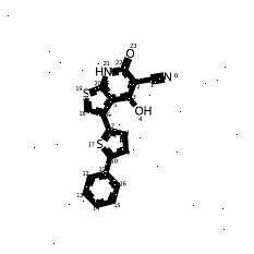 N#Cc1c(O)c2c(-c3ccc(-c4ccccc4)s3)csc2[nH]c1=O